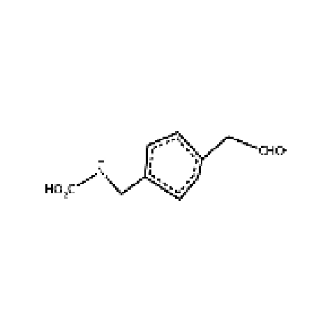 O=[C]Cc1ccc(CNC(=O)O)cc1